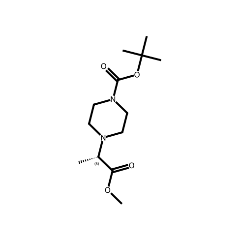 COC(=O)[C@H](C)N1CCN(C(=O)OC(C)(C)C)CC1